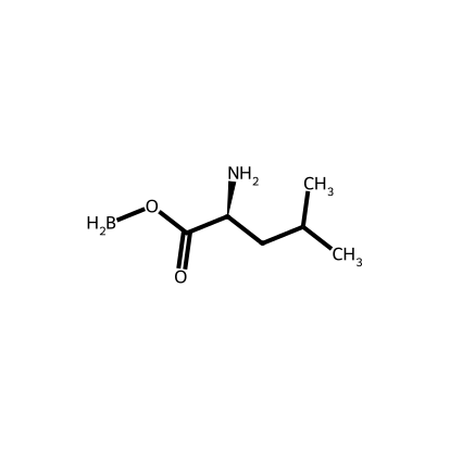 BOC(=O)[C@@H](N)CC(C)C